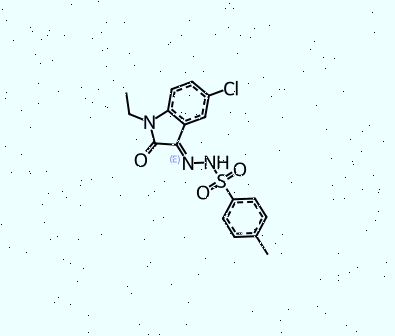 CCN1C(=O)/C(=N/NS(=O)(=O)c2ccc(C)cc2)c2cc(Cl)ccc21